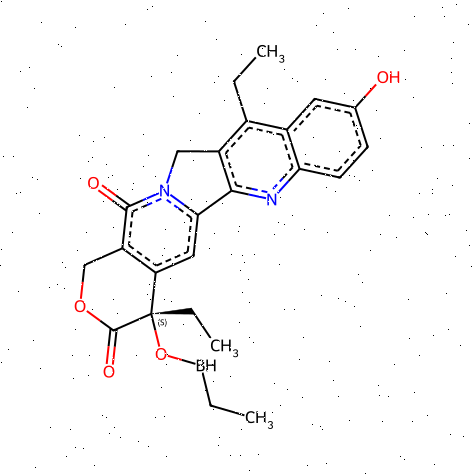 CCBO[C@]1(CC)C(=O)OCc2c1cc1n(c2=O)Cc2c-1nc1ccc(O)cc1c2CC